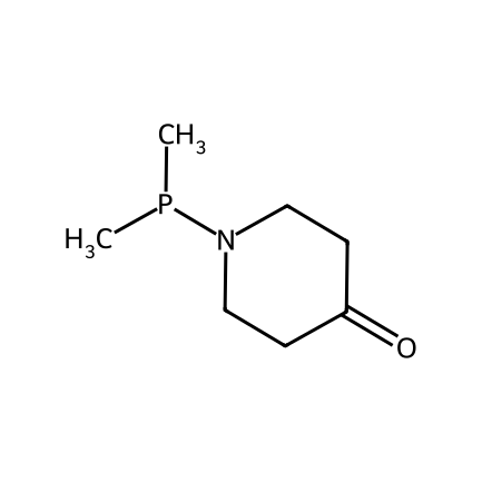 CP(C)N1CCC(=O)CC1